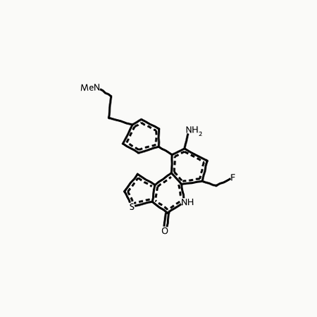 CNCCc1ccc(-c2c(N)cc(CF)c3[nH]c(=O)c4sccc4c23)cc1